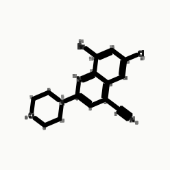 N#Cc1cc(N2CCOCC2)nc2c(Br)cc(Cl)cc12